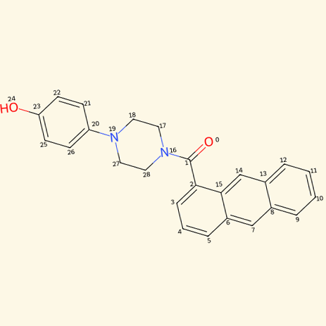 O=C(c1cccc2cc3ccccc3cc12)N1CCN(c2ccc(O)cc2)CC1